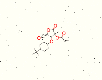 C=CC(=O)OC1(C)C(=O)OC(=C=O)C1OC1CCC(C(C)(C)C)CC1